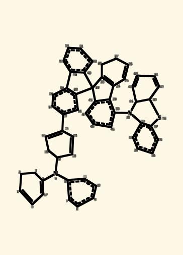 C1=CCCC(N(c2ccccc2)C2C=CC(c3ccc4c(c3)C3(C5=C(C=CCC5)c5c(N6c7ccccc7SC7C=CC=CC76)cccc53)c3ccccc3-4)=CC2)=C1